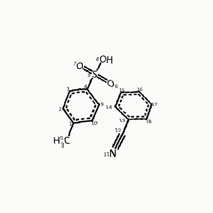 Cc1ccc(S(=O)(=O)O)cc1.N#Cc1ccccc1